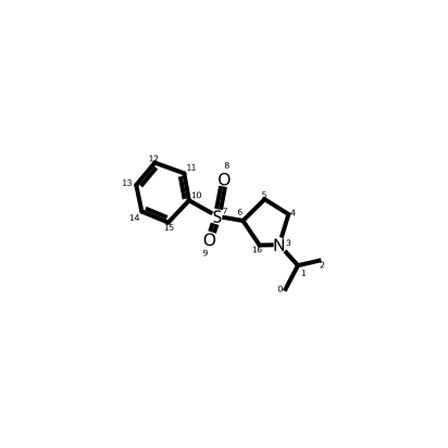 CC(C)N1CCC(S(=O)(=O)c2ccccc2)C1